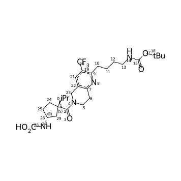 CC(C)[C@]1(C(=O)N2CCc3nc(CCCCNC(=O)OC(C)(C)C)c(C(F)(F)F)cc3C2)CC[C@@H](NC(=O)O)C1